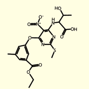 CCOC(=O)c1cc(C)cc(Oc2nc(SC)nc(NC(C(=O)O)C(C)O)c2[N+](=O)[O-])c1